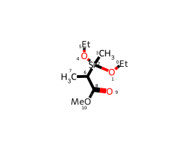 CCO[Si](C)(OCC)C(C)C(=O)OC